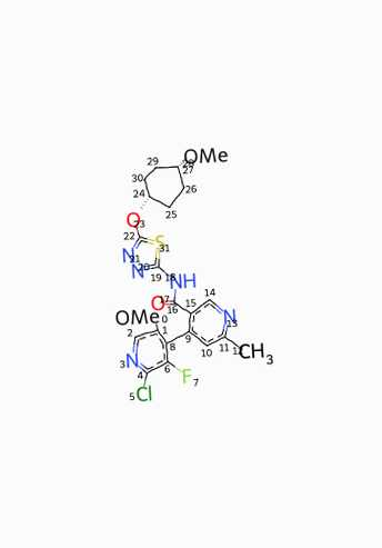 COc1cnc(Cl)c(F)c1-c1cc(C)ncc1C(=O)Nc1nnc(O[C@H]2CC[C@@H](OC)CC2)s1